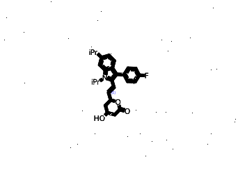 CC(C)c1ccc2c(-c3ccc(F)cc3)c(/C=C/C3CC(O)CC(=O)O3)n(C(C)C)c2c1